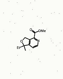 CCC1(C)OCc2c1ccnc2C(=O)OC